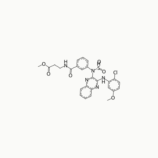 COC(=O)CCNC(=O)c1cccc(N(c2nc3ccccc3nc2Nc2cc(OC)ccc2Cl)[SH](=O)=O)c1